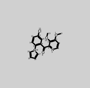 COc1ccnc(C(=O)c2cc(Cl)ccc2-n2cccc2)c1OC